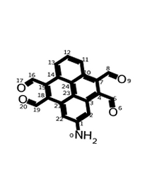 Nc1cc2c(C=O)c(C=O)c3cccc4c(C=O)c(C=O)c(c1)c2c34